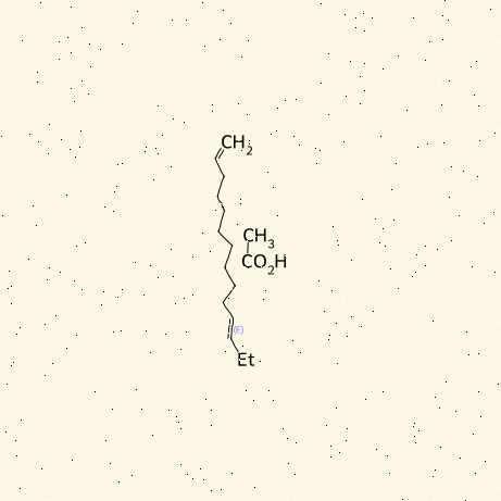 C=CCCCCCCCC/C=C/CC.CC(=O)O